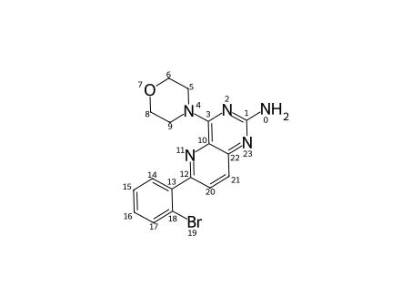 Nc1nc(N2CCOCC2)c2nc(-c3ccccc3Br)ccc2n1